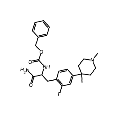 CN1CCC(C)(c2ccc(CC(NC(=O)OCc3ccccc3)C(N)=O)c(F)c2)CC1